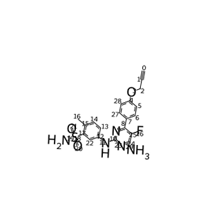 C#CCOc1ccc(-c2nc(Nc3ccc(C)c(S(N)(=O)=O)c3)ncc2F)cc1.N